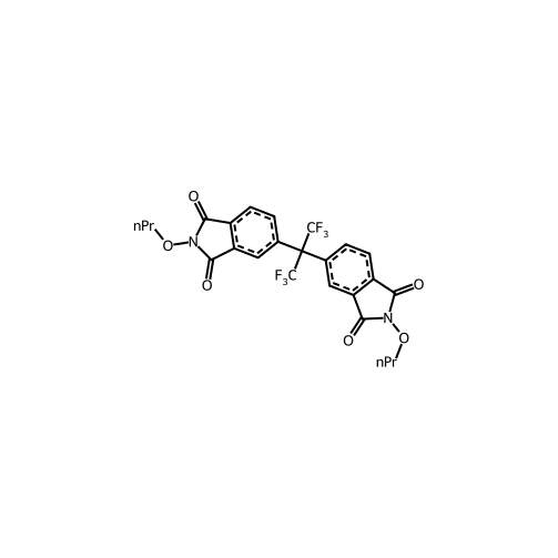 CCCON1C(=O)c2ccc(C(c3ccc4c(c3)C(=O)N(OCCC)C4=O)(C(F)(F)F)C(F)(F)F)cc2C1=O